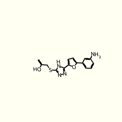 C=C(O)CSc1nnc(-c2ccc(-c3cccc(N)c3)o2)[nH]1